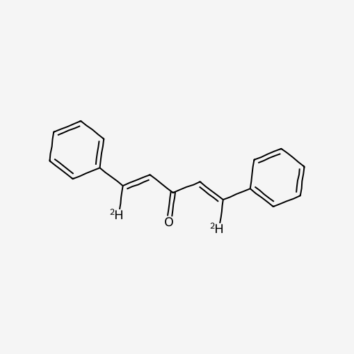 [2H]/C(=C\C(=O)/C=C(\[2H])c1ccccc1)c1ccccc1